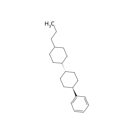 CCCC1CCC([C@H]2CC[C@H](c3ccccc3)CC2)CC1